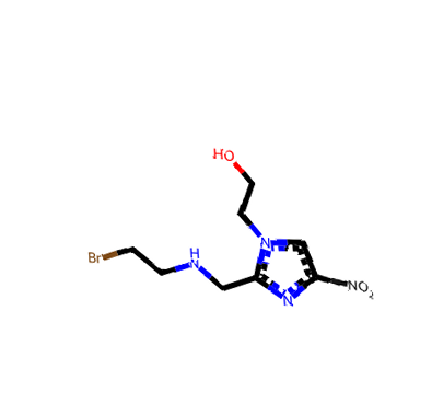 O=[N+]([O-])c1cn(CCO)c(CNCCBr)n1